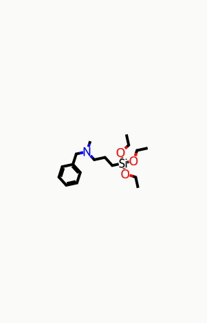 CCO[Si](CCCN(C)Cc1ccccc1)(OCC)OCC